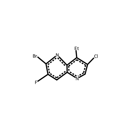 CCc1c(Cl)cnc2cc(F)c(Br)nc12